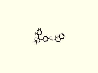 CC1(C)CC(c2ccc(OCc3ccc4ccccc4n3)cc2)=C(c2ccncn2)O1